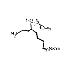 CCCCCCCCCCCCCC(C)CCP.CCOS(=O)(=O)O